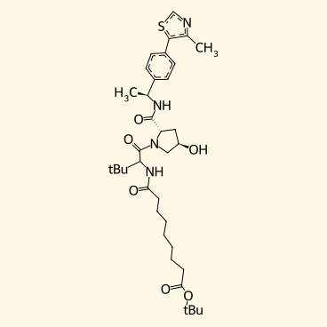 Cc1ncsc1-c1ccc([C@H](C)NC(=O)[C@@H]2C[C@@H](O)CN2C(=O)C(NC(=O)CCCCCCCC(=O)OC(C)(C)C)C(C)(C)C)cc1